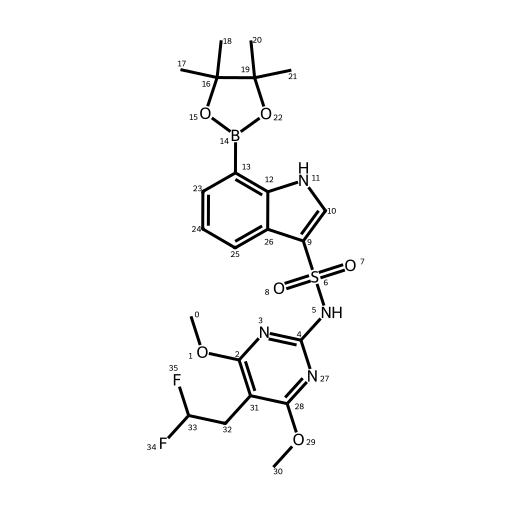 COc1nc(NS(=O)(=O)c2c[nH]c3c(B4OC(C)(C)C(C)(C)O4)cccc23)nc(OC)c1CC(F)F